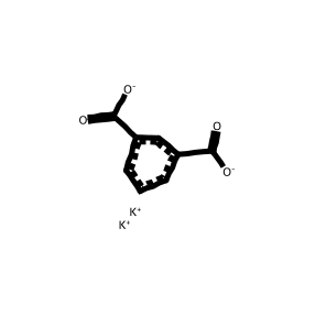 O=C([O-])c1cccc(C(=O)[O-])c1.[K+].[K+]